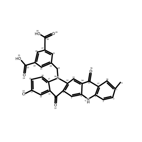 Cc1ccc2[nH]c3cc4c(=O)c5cc(Cl)ccc5n(Cc5cc(C(=O)O)cc(C(=O)O)c5)c4cc3c(=O)c2c1